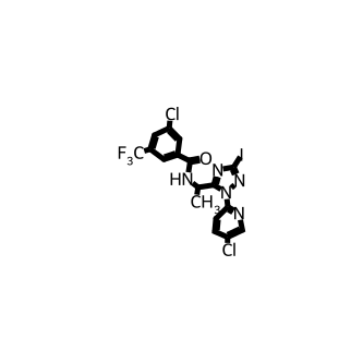 CC(NC(=O)c1cc(Cl)cc(C(F)(F)F)c1)c1nc(I)nn1-c1ccc(Cl)cn1